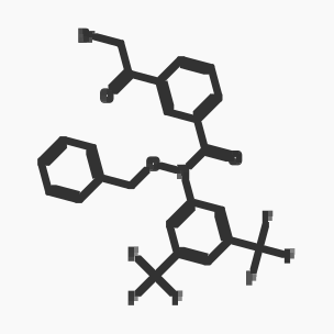 O=C(CBr)c1cccc(C(=O)N(OCc2ccccc2)c2cc(C(F)(F)F)cc(C(F)(F)F)c2)c1